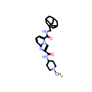 CN1CCC(NC(=O)c2cn3c(C(=O)NCC45CC6CC(CC(C6)C4)C5)cccc3n2)CC1